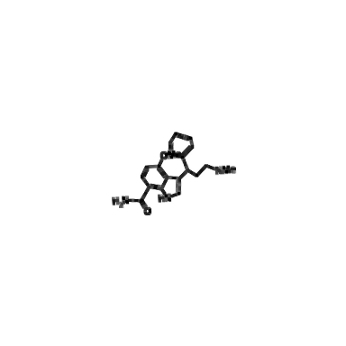 CNCCC(c1ccccc1)c1c[nH]c2c(C(N)=O)ccc(OC)c12